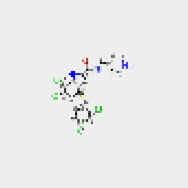 CN1CCC(CNC(=O)c2cc3c(Sc4ccc(Cl)cc4Cl)cc(Cl)c(Cl)c3[nH]2)CC1